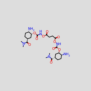 CN(C)C(=O)[C@H]1CC[C@H](N)[C@H](OC(=O)NOC(=O)CCC(=O)ONC(=O)O[C@@H]2C[C@@H](C(=O)N(C)C)CC[C@@H]2N)C1